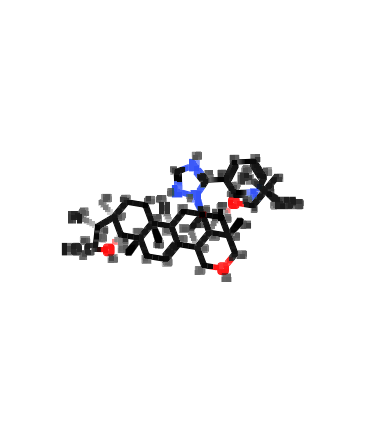 CN[C@@](C)(CO[C@H]1[C@H](n2ncnc2-c2cccnc2)C[C@@]23COC[C@]1(C)[C@@H]2CC[C@H]1C3=CC[C@]2(C)[C@H](OC(=O)O)[C@@](C)([C@H](C)C(C)C)CC[C@]12C)C(C)C